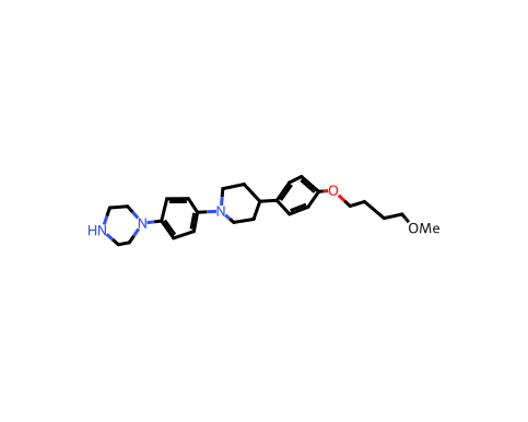 COCCCCOc1ccc(C2CCN(c3ccc(N4CCNCC4)cc3)CC2)cc1